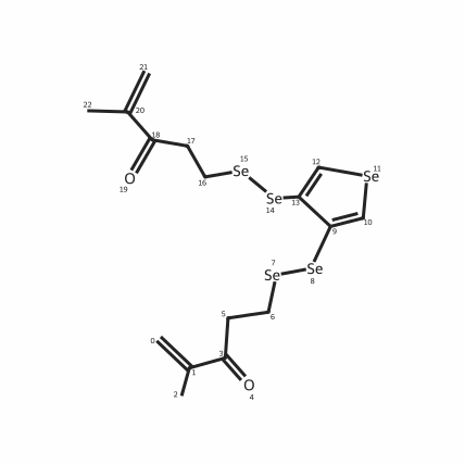 C=C(C)C(=O)CC[Se][Se]c1c[se]cc1[Se][Se]CCC(=O)C(=C)C